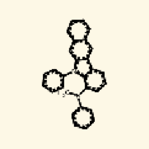 CN(c1ccccc1)c1cccc2c3cc4ccccc4cc3n(-c3ccccc3)c12